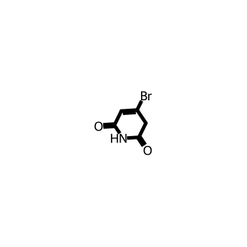 O=C1C=C(Br)CC(=O)N1